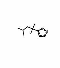 CC(I)CC(C)(C)n1ccnc1